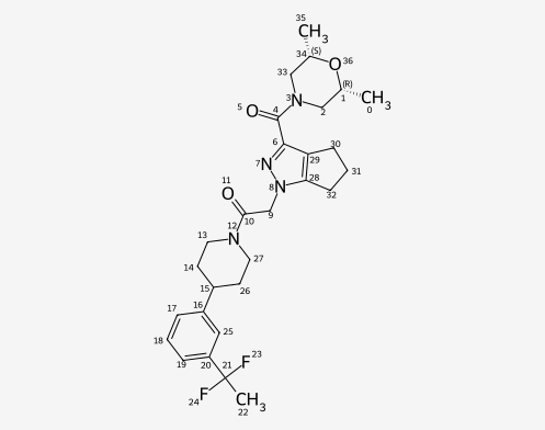 C[C@@H]1CN(C(=O)c2nn(CC(=O)N3CCC(c4cccc(C(C)(F)F)c4)CC3)c3c2CCC3)C[C@H](C)O1